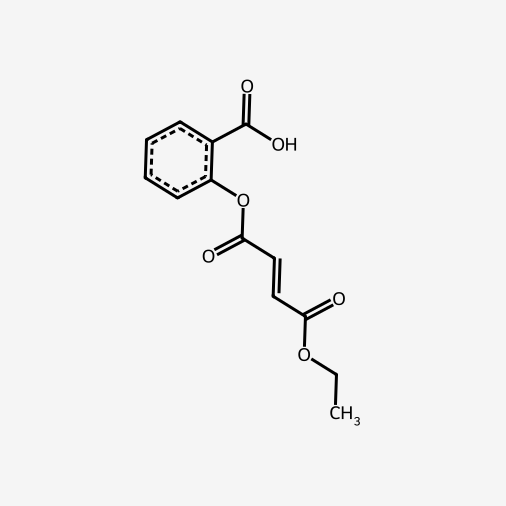 CCOC(=O)/C=C/C(=O)Oc1ccccc1C(=O)O